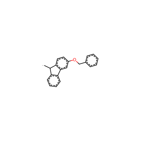 [CH2]C1c2ccccc2-c2cc(OCc3ccccc3)ccc21